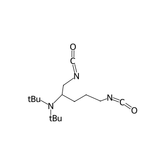 CC(C)(C)N(C(CCCN=C=O)CN=C=O)C(C)(C)C